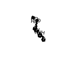 C1CCC1.O=C(O)NCCCn1ccc2cnc(Nc3cccc(CN4CCCC4)c3)nc21